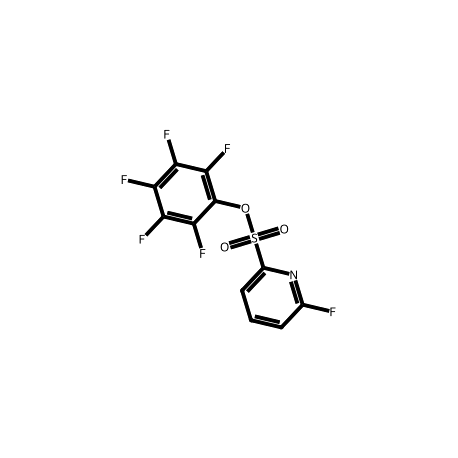 O=S(=O)(Oc1c(F)c(F)c(F)c(F)c1F)c1cccc(F)n1